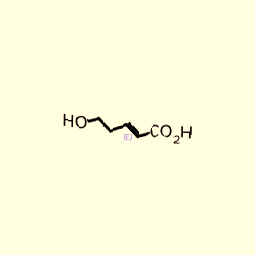 O=C(O)/C=C/CCO